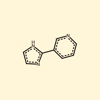 [c]1ncccc1-c1ncc[nH]1